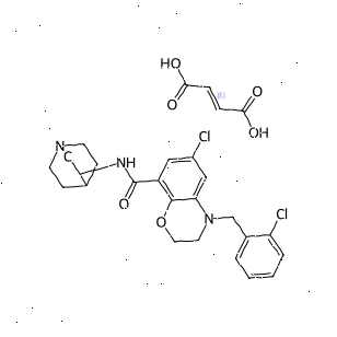 O=C(NC1CN2CCC1CC2)c1cc(Cl)cc2c1OCCN2Cc1ccccc1Cl.O=C(O)/C=C/C(=O)O